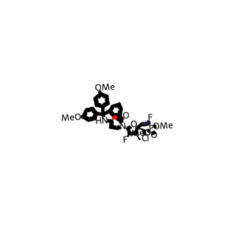 COc1ccc(C(Nc2ccn([C@@H]3O[C@@](/C=C(/F)P(=O)(OC)OC)(CCl)[C@@H](C)[C@H]3F)c(=O)n2)(c2ccccc2)c2ccc(OC)cc2)cc1